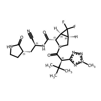 Cn1nnc([C@H](C(=O)N2C[C@H]3[C@@H]([C@H]2C(=O)N[C@H](C#N)C[C@@H]2CCNC2=O)C3(F)F)C(C)(C)C)n1